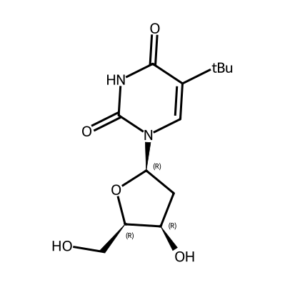 CC(C)(C)c1cn([C@H]2C[C@@H](O)[C@@H](CO)O2)c(=O)[nH]c1=O